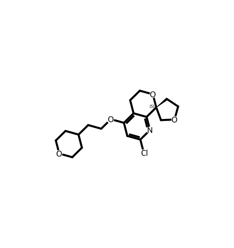 Clc1cc(OCCC2CCOCC2)c2c(n1)[C@]1(CCOC1)OCC2